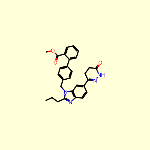 CCCc1nc2ccc(C3=NNC(=O)CC3)cc2n1Cc1ccc(-c2ccccc2C(=O)OC)cc1